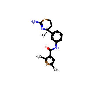 Cc1cc(C(=O)Nc2cccc([C@]3(C)CCSC(N)=N3)c2)c(C)s1